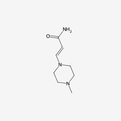 CN1CCN(C=CC(N)=O)CC1